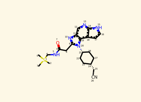 CS(C)(C)CNC(=O)Cc1nc2cnc3[nH]ccc3c2n1[C@H]1CC[C@@H](CC#N)CC1